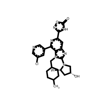 CC1CCC(Cn2c(N3C[C@H](O)C[C@H]3C(C)C)nc3cc(-c4noc(=O)[nH]4)nc(-c4cncc(Cl)c4)c32)CC1